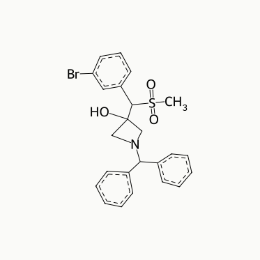 CS(=O)(=O)C(c1cccc(Br)c1)C1(O)CN(C(c2ccccc2)c2ccccc2)C1